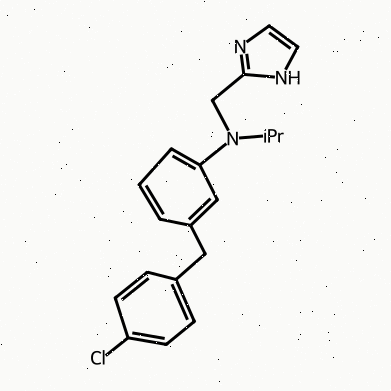 CC(C)N(Cc1ncc[nH]1)c1cccc(Cc2ccc(Cl)cc2)c1